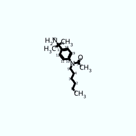 CCCCCCN(C(C)=O)c1ccc(C(C)(C)N)cc1